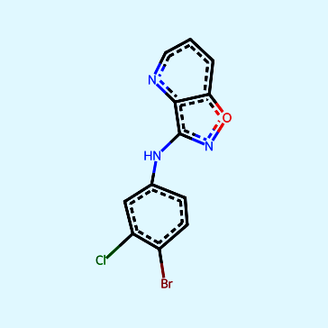 Clc1cc(Nc2noc3cccnc23)ccc1Br